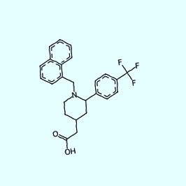 O=C(O)CC1CCN(Cc2cccc3ccccc23)C(c2ccc(C(F)(F)F)cc2)C1